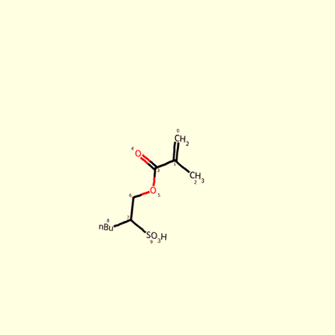 C=C(C)C(=O)OCC(CCCC)S(=O)(=O)O